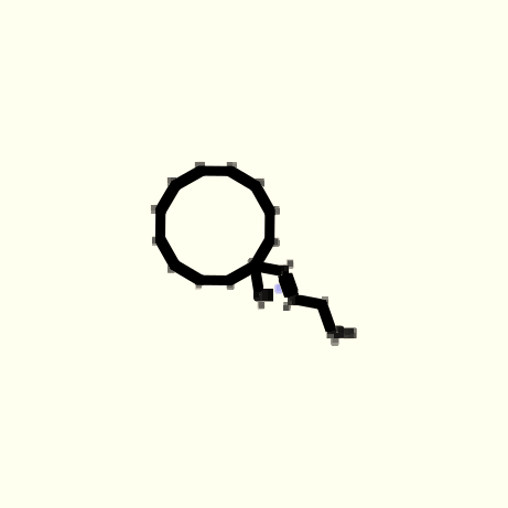 CCCCCCCCCCC/N=N/C1(O)CCCCCCCCCCC1